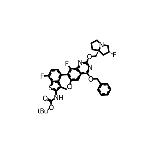 Cc1c(NC(=O)OC(C)(C)C)sc2c(F)ccc(-c3c(Cl)cc4c(OCc5ccccc5)nc(OC[C@@]56CCCN5C[C@H](F)C6)nc4c3F)c12